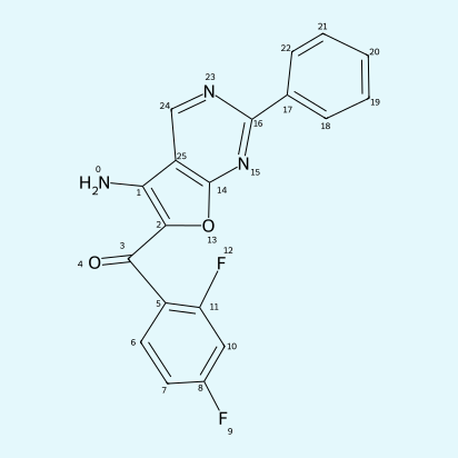 Nc1c(C(=O)c2ccc(F)cc2F)oc2nc(-c3ccccc3)ncc12